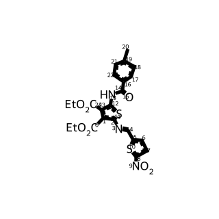 CCOC(=O)c1c(N=Cc2ccc([N+](=O)[O-])s2)sc(NC(=O)c2ccc(C)cc2)c1C(=O)OCC